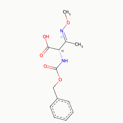 CO/N=C(\C)[C@H](NC(=O)OCc1ccccc1)C(=O)O